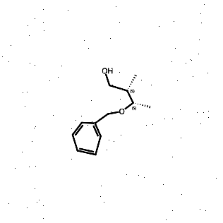 C[C@H](OCc1ccccc1)[C@@H](C)CO